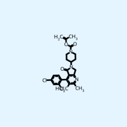 C=C(C)OC(=O)N1CCC(N2Cc3nc(C)c(C(=O)O)c(-c4ccc(Cl)cc4Cl)c3C2=O)CC1